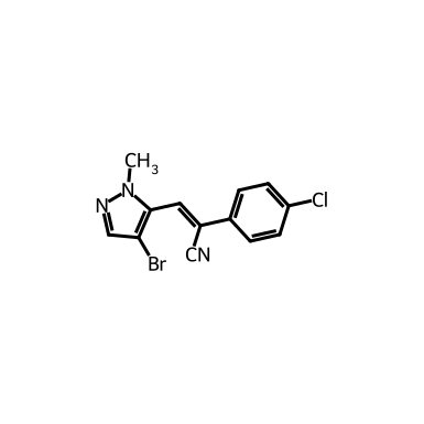 Cn1ncc(Br)c1/C=C(\C#N)c1ccc(Cl)cc1